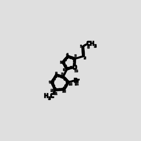 C/C=C/c1ccc(-c2ccc(C)cc2Br)o1